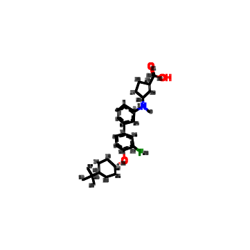 CN(c1cccc(-c2ccc(O[C@H]3CC[C@H](C(C)(C)C)CC3)c(F)c2)c1)C1CCC(C(=O)O)C1